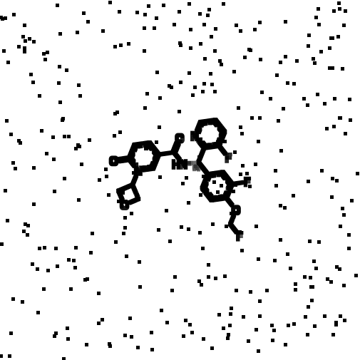 O=C(N[C@@H](c1ccc(OCF)c(F)c1)c1ncccc1F)c1ccc(=O)n(C2COC2)c1